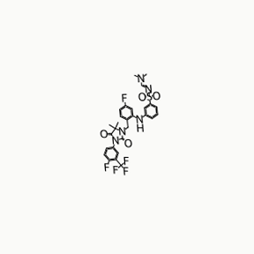 CN(C)C=NS(=O)(=O)c1cccc(Nc2cc(F)ccc2CN2C(=O)N(c3ccc(F)c(C(F)(F)F)c3)C(=O)C2(C)C)c1